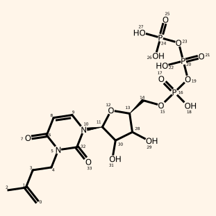 C=C(C)CCn1c(=O)ccn([C@H]2O[C@@H](COP(=O)(O)OP(=O)(O)OP(=O)(O)O)C(O)C2O)c1=O